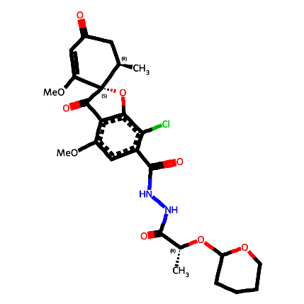 COC1=CC(=O)C[C@@H](C)[C@]12Oc1c(Cl)c(C(=O)NNC(=O)[C@@H](C)OC3CCCCO3)cc(OC)c1C2=O